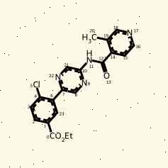 CCOC(=O)c1ccc(Cl)c(-c2cnc(NC(=O)c3ccncc3C)cn2)c1